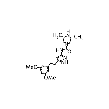 COc1cc(CCc2cc(NC(=O)N3C[C@@H](C)N[C@@H](C)C3)n[nH]2)cc(OC)c1